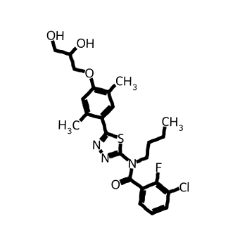 CCCCN(C(=O)c1cccc(Cl)c1F)c1nnc(-c2cc(C)c(OCC(O)CO)cc2C)s1